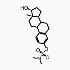 CN(C)S(=O)(=O)Oc1ccc2c(c1)CCC1C2CC[C@@]2(C)C1CC[C@@H]2O